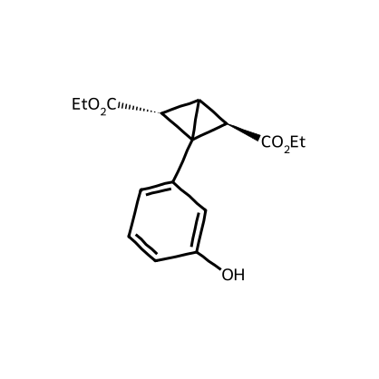 CCOC(=O)[C@@H]1C2[C@@H](C(=O)OCC)C21c1cccc(O)c1